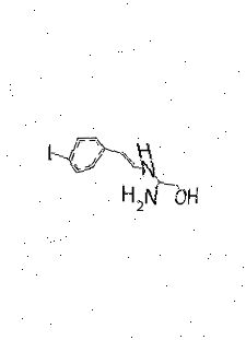 N[C@H](CO)N/C=C/c1ccc(I)cc1